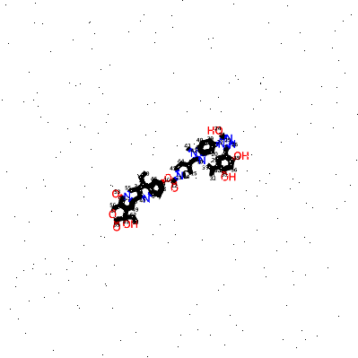 CCc1c2c(nc3ccc(OC(=O)N4CCC(c5nc6cc(-n7c(O)nnc7-c7cc(C(C)C)c(O)cc7O)ccc6n5C)CC4)cc13)-c1cc3c(c(=O)n1C2)COC(=O)[C@@]3(O)CC